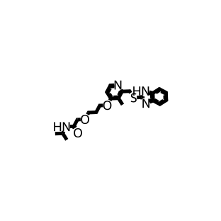 Cc1c(OCCCOCC(=O)NC(C)C)ccnc1CSc1nc2ccccc2[nH]1